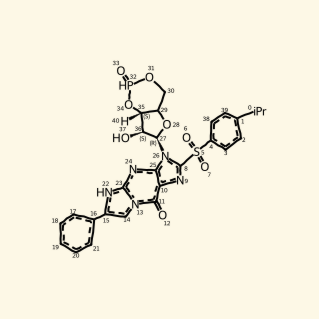 CC(C)c1ccc(S(=O)(=O)c2nc3c(=O)n4cc(-c5ccccc5)[nH]c4nc3n2[C@@H]2OC3CO[PH](=O)O[C@H]3[C@@H]2O)cc1